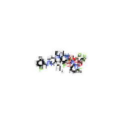 Cc1c(N(C)C2CCN(Cc3ccccc3F)CC2)cnc(S(=O)(=O)N(OC(=O)C(F)(F)F)c2cccc(F)n2)c1F